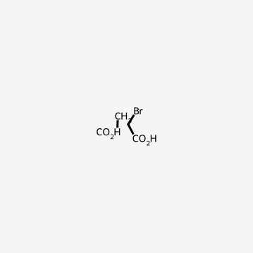 CC(=O)O.O=C(O)CBr